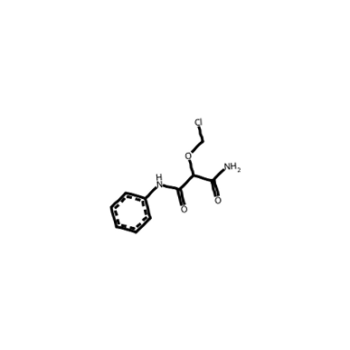 NC(=O)C(OCCl)C(=O)Nc1ccccc1